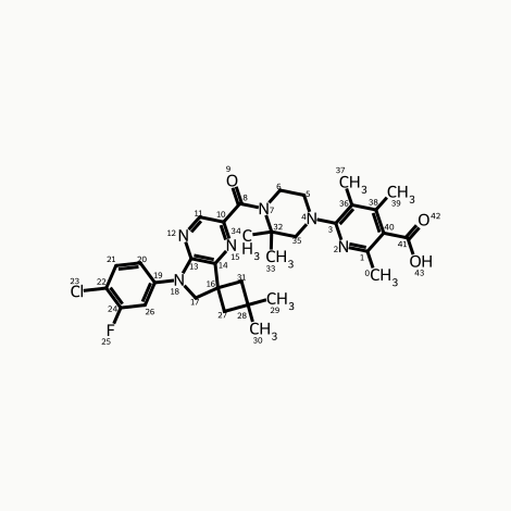 Cc1nc(N2CCN(C(=O)c3cnc4c(n3)C3(CN4c4ccc(Cl)c(F)c4)CC(C)(C)C3)C(C)(C)C2)c(C)c(C)c1C(=O)O